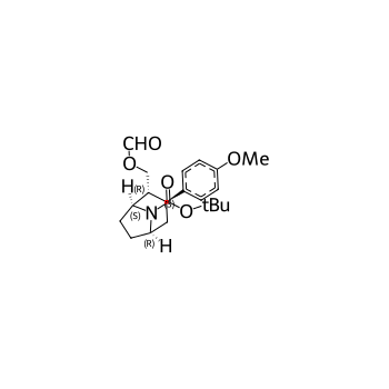 COc1ccc([C@H]2C[C@H]3CC[C@@H]([C@@H]2COC=O)N3C(=O)OC(C)(C)C)cc1